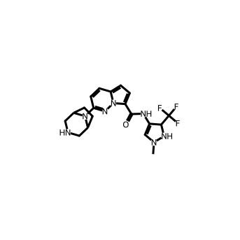 CN1C=C(NC(=O)c2ccc3ccc(N4C5CCC4CNC5)nn23)C(C(F)(F)F)N1